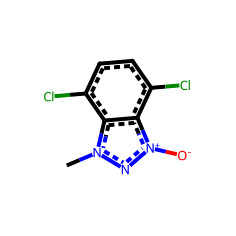 Cn1n[n+]([O-])c2c(Cl)ccc(Cl)c21